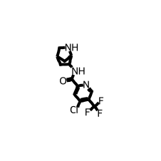 O=C(NC1CC2CNC1C2)c1cc(Cl)c(C(F)(F)F)cn1